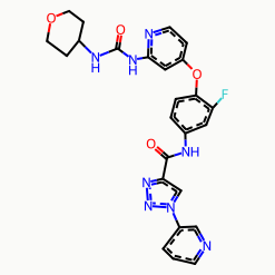 O=C(Nc1cc(Oc2ccc(NC(=O)c3cn(-c4cccnc4)nn3)cc2F)ccn1)NC1CCOCC1